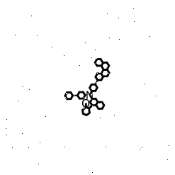 c1ccc(-c2ccc(N(c3ccc(-c4ccc5c(ccc6ccc7ccccc7c65)c4)cc3)c3cc4ccccc4c4c3oc3ccccc34)cc2)cc1